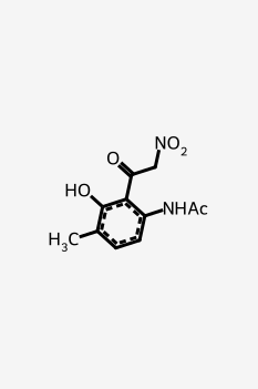 CC(=O)Nc1ccc(C)c(O)c1C(=O)C[N+](=O)[O-]